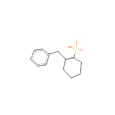 O=S(=O)(O)C1CCCC[C]1Cc1ccccc1